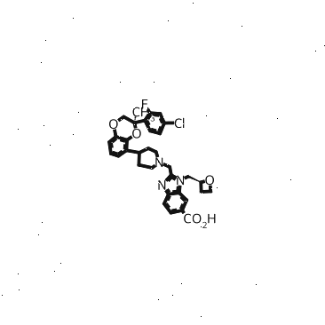 C[C@@]1(c2ccc(Cl)cc2F)COc2cccc(C3CCN(Cc4nc5ccc(C(=O)O)cc5n4C[C@@H]4CCO4)CC3)c2O1